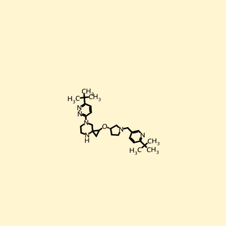 CC(C)(C)c1ccc(CN2CC[C@@H](OC3CC34CN(c3ccc(C(C)(C)C)nn3)CCN4)C2)cn1